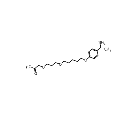 C[C@@H](N)c1ccc(OCCCCCOCCCOCC(=O)O)cc1